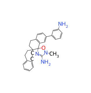 CN1OC2(N=C1N)c1cc(-c3cccc(N)c3)ccc1CCC21CCc2ccccc2CC1